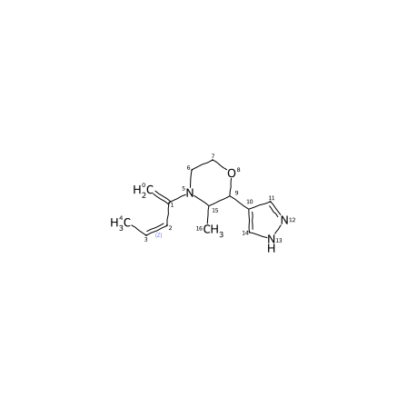 C=C(/C=C\C)N1CCOC(c2cn[nH]c2)C1C